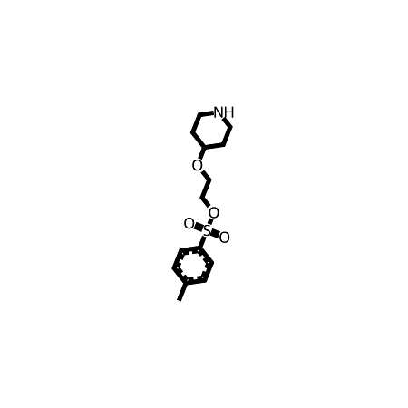 Cc1ccc(S(=O)(=O)OCCOC2CCNCC2)cc1